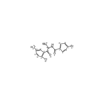 CCc1ccc(C(=O)NN(C(=O)c2cc(C)ccc2Cl)C(C)(C)C)cc1